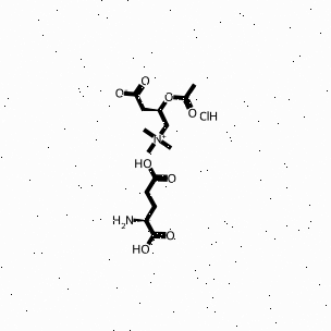 CC(=O)O[C@H](CC(=O)[O-])C[N+](C)(C)C.Cl.N[C@@H](CCC(=O)O)C(=O)O